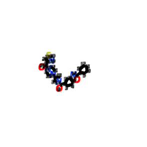 O=C(c1ccc2oc(-c3ccccc3)nc2c1)N1CC(N2CCN(C(=O)c3cscn3)CC2)C1